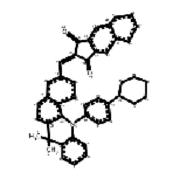 CC1(C)c2ccccc2N(c2ccc(C3CCCCC3)cc2)c2c1ccc1cc(C=C3C(=O)c4cc5ccccc5cc4C3=O)ccc21